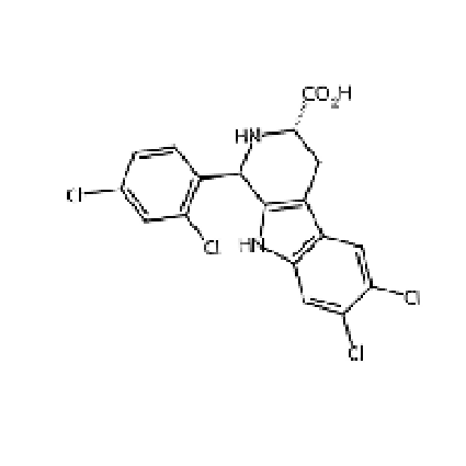 O=C(O)[C@@H]1Cc2c([nH]c3cc(Cl)c(Cl)cc23)[C@@H](c2ccc(Cl)cc2Cl)N1